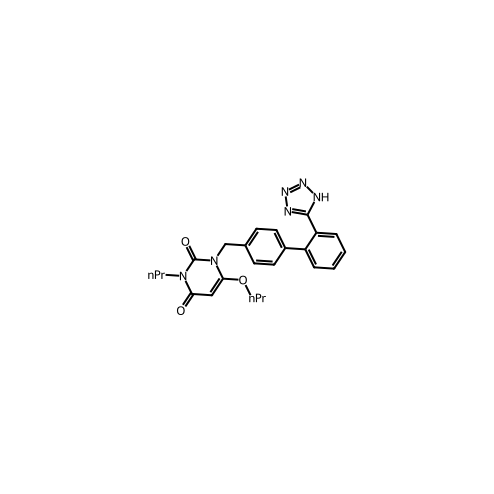 CCCOc1cc(=O)n(CCC)c(=O)n1Cc1ccc(-c2ccccc2-c2nnn[nH]2)cc1